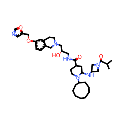 CC(C)C(=O)N1CC(NC2CC(C(=O)NC[C@H](O)CN3CCc4cc(OCc5cnco5)ccc4C3)CCN2C2CCCCCCCC2)C1